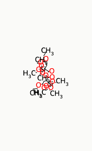 CCCOC(=O)CC(C(=O)OC(=O)C(CC(=O)OCCC)[Si](OCC)(OCC)OCC)[Si](OCC)(OCC)OCC